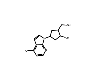 OCC1CC(n2ccc3c(Cl)ncnc32)CC1O